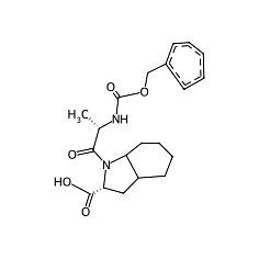 C[C@H](NC(=O)OCc1ccccc1)C(=O)N1C2CCCCC2C[C@@H]1C(=O)O